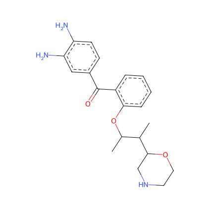 CC(Oc1ccccc1C(=O)c1ccc(N)c(N)c1)C(C)C1CNCCO1